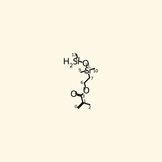 C=C(C)C(=O)OCC[Si](C)(C)O[SiH2]C